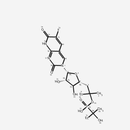 CCC(C)(C[C@H]1O[C@@H](n2cc3cc(F)c(=O)[nH]c3nc2=O)[C@@H](O)C1O)OP(=O)(O)C(C)(O)CC